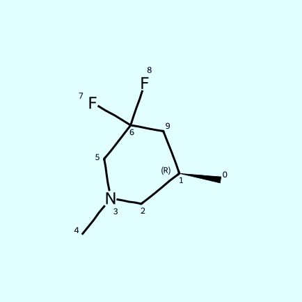 C[C@H]1CN(C)CC(F)(F)C1